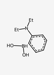 CCN(CC)c1ccccc1.OBO